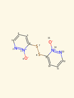 [O-][n+]1ncccc1SSc1cccn[n+]1[O-]